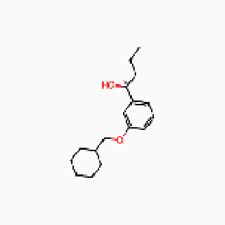 CCC[C@H](O)c1cccc(OCC2CCCCC2)c1